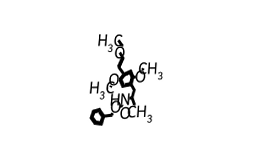 CCO/C=C/c1cc(OC)c(CC(CC)NC(=O)OCc2ccccc2)cc1OC